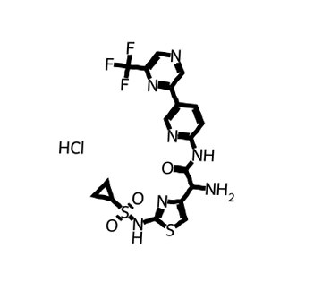 Cl.NC(C(=O)Nc1ccc(-c2cncc(C(F)(F)F)n2)cn1)c1csc(NS(=O)(=O)C2CC2)n1